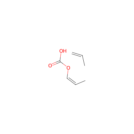 C/C=C\OC(=O)O.C=CC